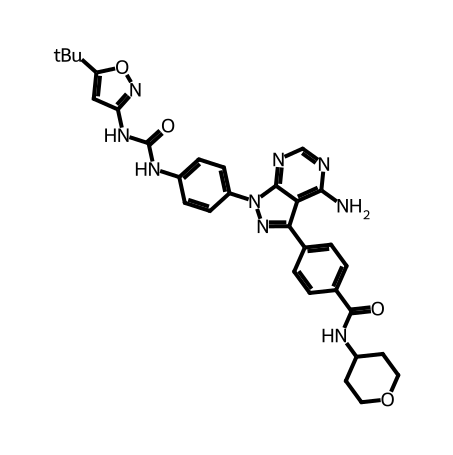 CC(C)(C)c1cc(NC(=O)Nc2ccc(-n3nc(-c4ccc(C(=O)NC5CCOCC5)cc4)c4c(N)ncnc43)cc2)no1